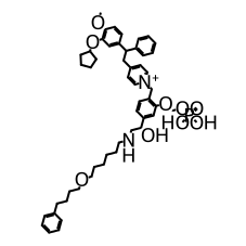 COc1ccc(C(Cc2cc[n+](Cc3ccc(C(O)CNCCCCCCOCCCCc4ccccc4)cc3OCOP(=O)(O)O)cc2)c2ccccc2)cc1OC1CCCC1